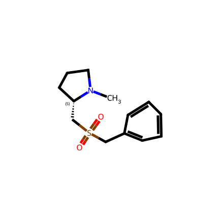 CN1CCC[C@H]1CS(=O)(=O)Cc1ccccc1